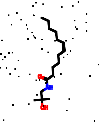 CCCCC/C=C\CCCCC(=O)NCC(C)(C)O